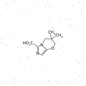 CC1(C)COc2cnc(C(=O)O)n2C1